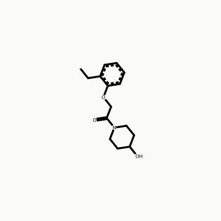 [CH2]Cc1ccccc1OCC(=O)N1CCC(O)CC1